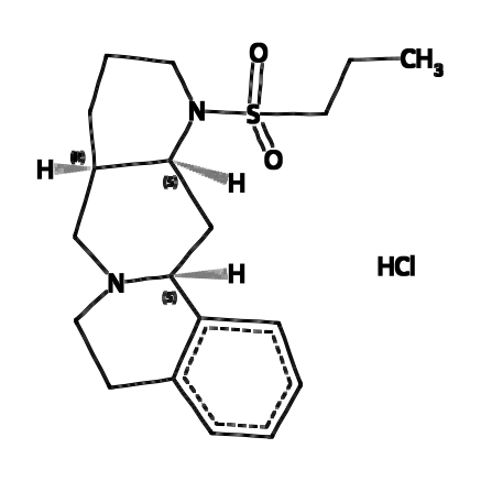 CCCS(=O)(=O)N1CCC[C@@H]2CN3CCc4ccccc4[C@@H]3C[C@@H]21.Cl